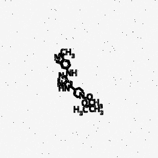 Cn1ncc2cc(Nc3ncnc4[nH]c(C5=CCN(C(=O)OC(C)(C)C)CC5)cc34)ccc21